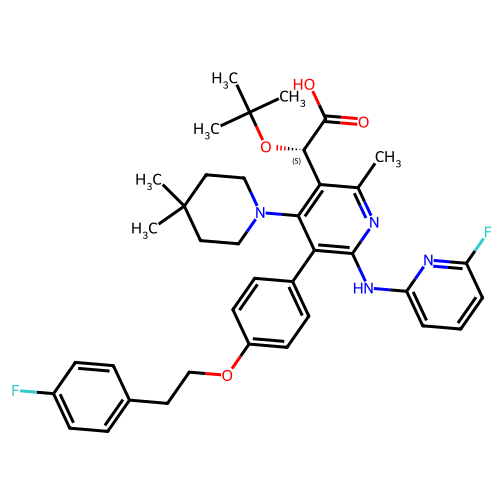 Cc1nc(Nc2cccc(F)n2)c(-c2ccc(OCCc3ccc(F)cc3)cc2)c(N2CCC(C)(C)CC2)c1[C@H](OC(C)(C)C)C(=O)O